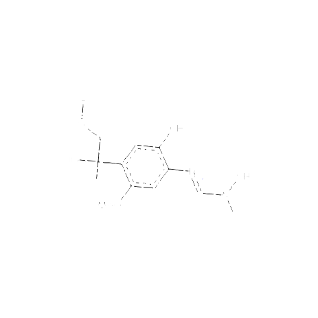 CCOCC(O)(c1cc(C)c(/N=C/N(C)CC)cc1OC)C(F)(F)F